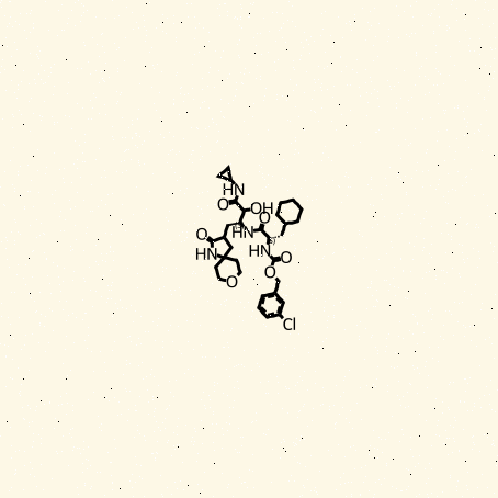 O=C(N[C@@H](CC1CCCCC1)C(=O)N[C@@H](CC1CC2(CCOCC2)NC1=O)C(O)C(=O)NC1CC1)OCc1cccc(Cl)c1